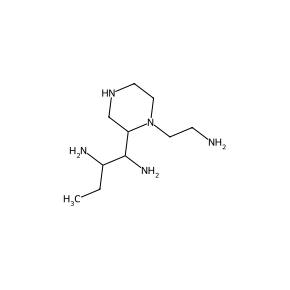 CCC(N)C(N)C1CNCCN1CCN